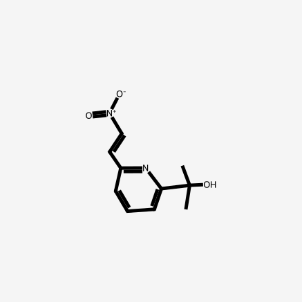 CC(C)(O)c1cccc(/C=C/[N+](=O)[O-])n1